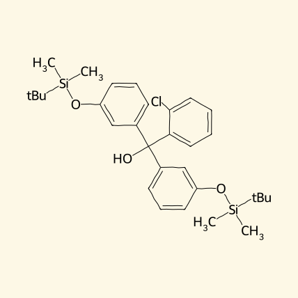 CC(C)(C)[Si](C)(C)Oc1cccc(C(O)(c2cccc(O[Si](C)(C)C(C)(C)C)c2)c2ccccc2Cl)c1